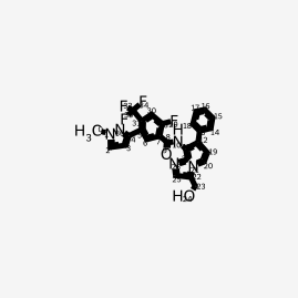 Cn1ccc(-c2cc(C(=O)Nc3c(-c4ccccc4)ccn4c(CO)cnc34)c(F)cc2C(F)(F)F)n1